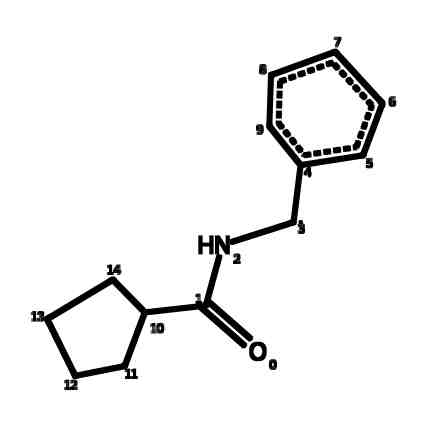 O=C(N[CH]c1ccccc1)C1CCCC1